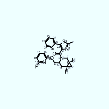 Cc1nc(C(=O)N2C[C@@H]3C[C@@H]3C[C@H]2COc2cccc(F)n2)c(-c2ccccc2)s1